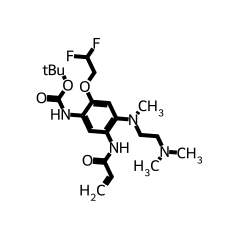 C=CC(=O)Nc1cc(NC(=O)OC(C)(C)C)c(OCC(F)F)cc1N(C)CCN(C)C